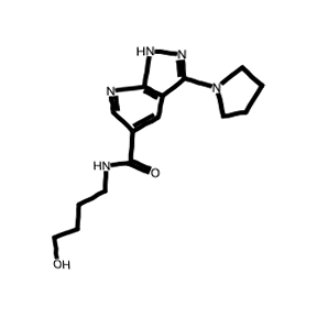 O=C(NCCCCO)c1cnc2[nH]nc(N3CCCC3)c2c1